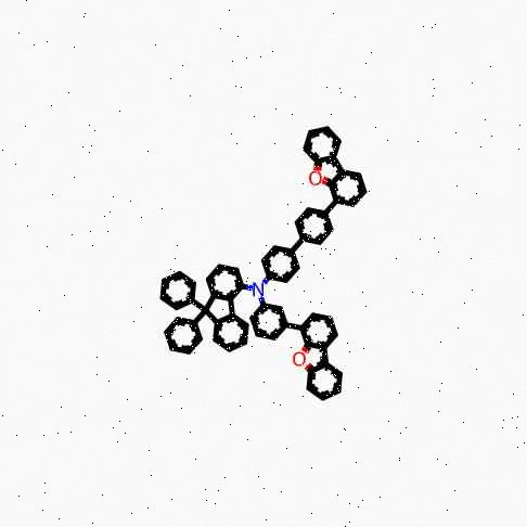 c1ccc(C2(c3ccccc3)c3ccccc3-c3c(N(c4ccc(-c5ccc(-c6cccc7c6oc6ccccc67)cc5)cc4)c4cccc(-c5cccc6c5oc5ccccc56)c4)cccc32)cc1